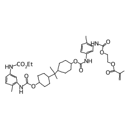 C=C(C)C(=O)OCCOC(=O)Nc1cc(NC(=O)OC2CCC(C(C)(C)C3CCC(OC(=O)Nc4cc(NC(=O)OCC)ccc4C)CC3)CC2)ccc1C